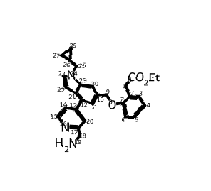 CCOC(=O)Cc1ccccc1OCc1cc(-c2ccnc(CN)c2)c2ccn(CC3CC3)c2c1